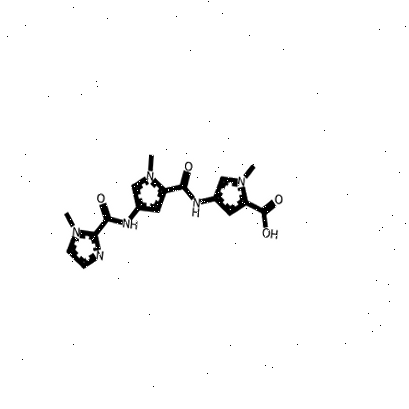 Cn1cc(NC(=O)c2cc(NC(=O)c3nccn3C)cn2C)cc1C(=O)O